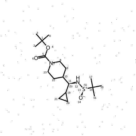 CC(C)(C)OC(=O)N1CCC([C@@H](N[S@+]([O-])C(C)(C)C)C2CC2)CC1